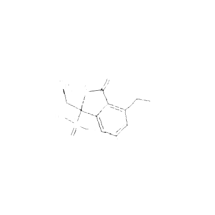 CCc1cccc2c1C(=O)OC2(CC)P(=O)(O)O